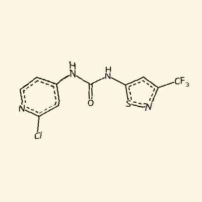 O=C(Nc1ccnc(Cl)c1)Nc1cc(C(F)(F)F)ns1